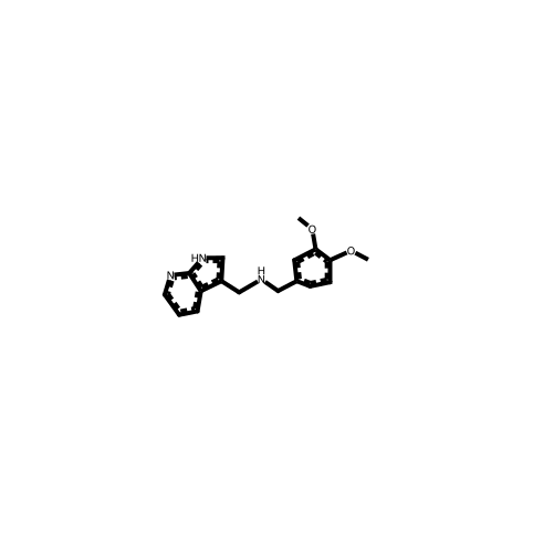 COc1ccc(CNCc2c[nH]c3ncccc23)cc1OC